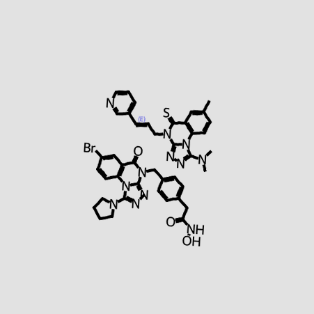 Cc1ccc2c(c1)c(=S)n(C/C=C/c1cccnc1)c1nnc(N(C)C)n21.O=C(Cc1ccc(Cn2c(=O)c3cc(Br)ccc3n3c(N4CCCC4)nnc23)cc1)NO